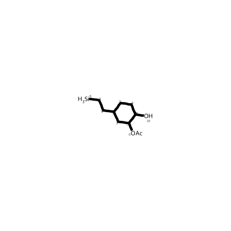 CC(=O)OC1CC(CC[SiH3])CCC1O